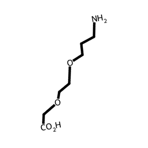 NCCCOCCOCC(=O)O